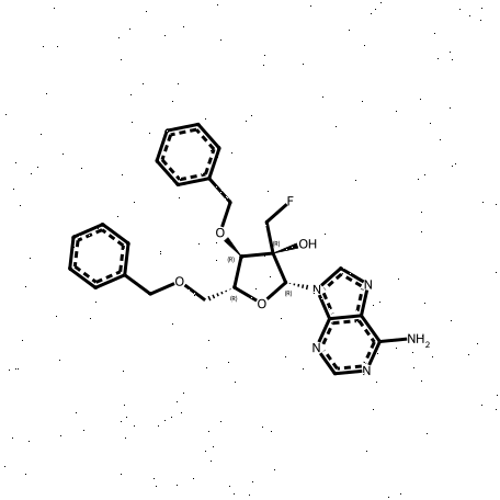 Nc1ncnc2c1ncn2[C@@H]1O[C@H](COCc2ccccc2)[C@@H](OCc2ccccc2)[C@]1(O)CF